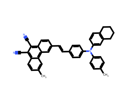 Cc1ccc(N(c2ccc(C=Cc3ccc4c(C#N)c(C#N)c5ccc(C)cc5c4c3)cc2)c2ccc3c(c2)CCCC3)cc1